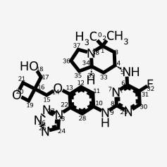 CC1(C)C[C@H](Nc2nc(Nc3ccc(OCC4(CO)COC4)c(-n4cnnn4)c3)ncc2F)C[C@H]2CCCN21